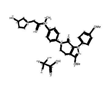 COc1ccc(-n2nc(OC)c3c2C(=O)N(c2ccc(N(C)C(=O)CN4CCC(O)C4)cc2)CC3)cc1.O=C(O)C(F)(F)F